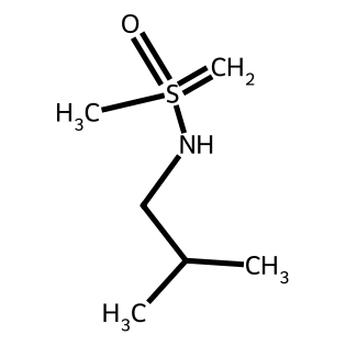 C=S(C)(=O)NCC(C)C